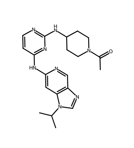 CC(=O)N1CCC(Nc2nccc(Nc3cc4c(cn3)ncn4C(C)C)n2)CC1